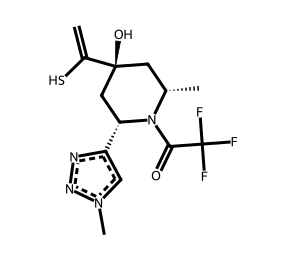 C=C(S)[C@]1(O)C[C@H](C)N(C(=O)C(F)(F)F)[C@H](c2cn(C)nn2)C1